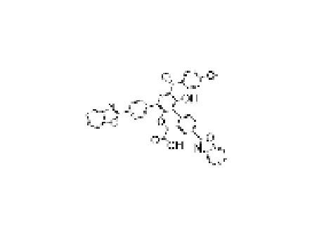 [O]c1ccc(C(=O)c2cc(-c3ccc(-c4nc5ccccc5o4)cc3)c(OCC(=O)O)c(-c3ccc(-c4nc5ccccc5o4)cc3)c2O)cc1